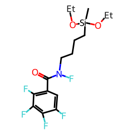 CCO[Si](C)(CCCCN(F)C(=O)c1cc(F)c(F)c(F)c1F)OCC